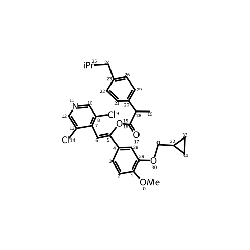 COc1ccc(/C(=C/c2c(Cl)cncc2Cl)OC(=O)C(C)c2ccc(CC(C)C)cc2)cc1OCC1CC1